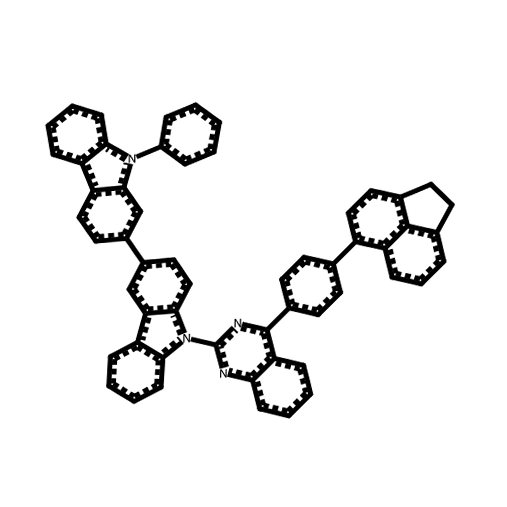 c1ccc(-n2c3ccccc3c3ccc(-c4ccc5c(c4)c4ccccc4n5-c4nc(-c5ccc(-c6ccc7c8c(cccc68)CC7)cc5)c5ccccc5n4)cc32)cc1